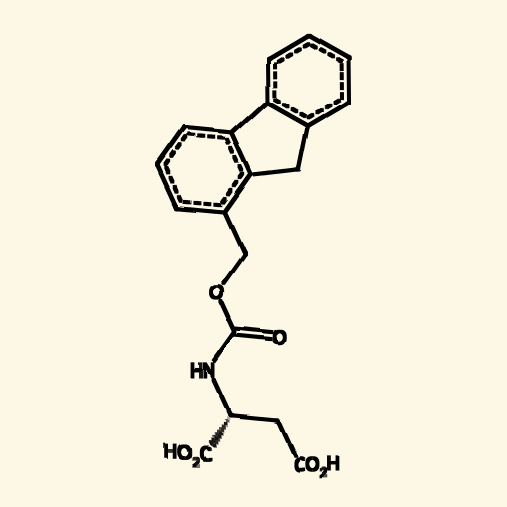 O=C(O)C[C@@H](NC(=O)OCc1cccc2c1Cc1ccccc1-2)C(=O)O